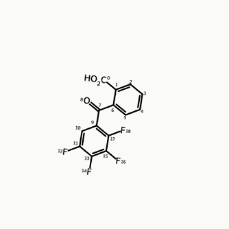 O=C(O)c1ccccc1C(=O)c1cc(F)c(F)c(F)c1F